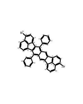 Brc1ccc2c3cc4c(-c5ccccc5)c5c6ccc(Br)c7cccc(c5c(-c5ccccc5)c4cc3c3cccc1c32)c76